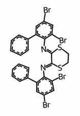 Brc1cc(Br)c(/N=C2\SCCS\C2=N/c2c(Br)cc(Br)cc2-c2ccccc2)c(-c2ccccc2)c1